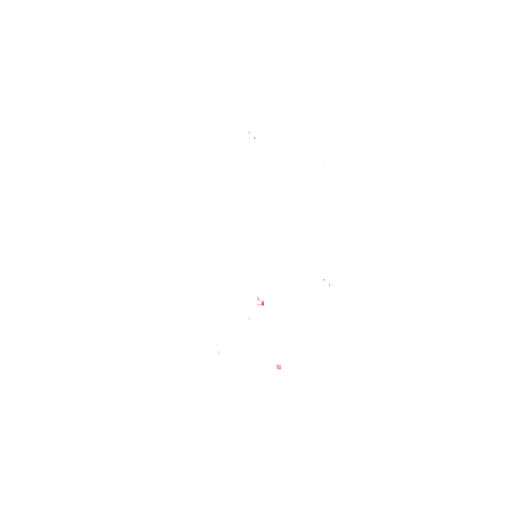 CC1C/C=C(c2cccc3sc4ccccc4c23)/N=C(c2ccc(-n3c4ccccc4c4cc5ccccc5cc43)c3oc4ccccc4c23)\N=C/1c1cccc2sc3ccccc3c12